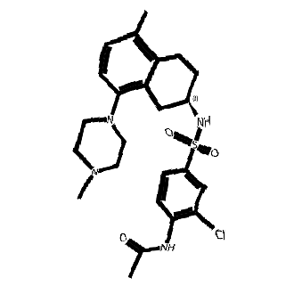 CC(=O)Nc1ccc(S(=O)(=O)N[C@@H]2CCc3c(C)ccc(N4CCN(C)CC4)c3C2)cc1Cl